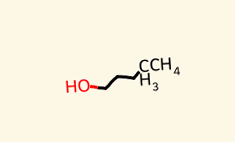 C.CCCCO